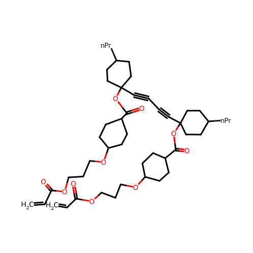 C=CC(=O)OCCCOC1CCC(C(=O)OC2(C#CC#CC3(OC(=O)C4CCC(OCCCOC(=O)C=C)CC4)CCC(CCC)CC3)CCC(CCC)CC2)CC1